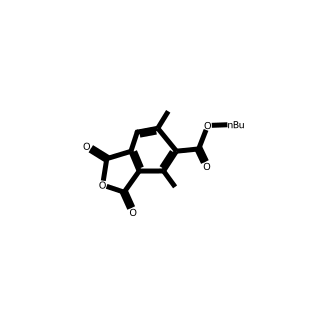 CCCCOC(=O)c1c(C)cc2c(c1C)C(=O)OC2=O